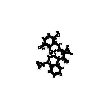 O=C(N1CCN(C2CC2)c2ccccc21)C1(NCc2c(Cl)ccc(Cl)c2O)CC1